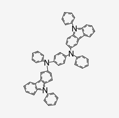 c1ccc(N(c2ccc(N(c3ccccc3)c3ccc4c(c3)c3ccccc3n4-c3ccccc3)cc2)c2ccc3c(c2)c2ccccc2n3-c2ccccc2)cc1